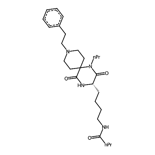 CCCC(=O)NCCCC[C@@H]1NC(=O)C2(CCN(CCc3ccccc3)CC2)N(CCC)C1=O